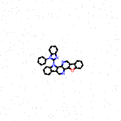 c1ccc(-n2c(-n3c4ccccc4c4cnc5c(ncc6c7ccccc7oc65)c43)nc3ccccc32)cc1